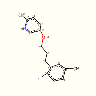 N#Cc1ccc(I)c(CCCOc2ccc(Cl)nc2)c1